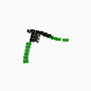 Cl.Cl.Cl.Cl.Cl.Cl.Cl.Cl.Cl.Cl.Cl.[MgH2].[MgH2].[MgH2].[MgH2].[MgH2].[MgH2].[MgH2]